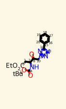 CCOC(=O)CC(NC(=O)OC(C)(C)C)C(=O)Cn1nnc(-c2ccccc2)n1